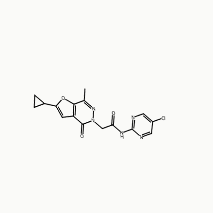 Cc1nn(CC(=O)Nc2ncc(Cl)cn2)c(=O)c2cc(C3CC3)oc12